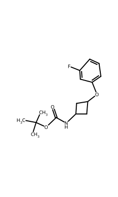 CC(C)(C)OC(=O)NC1CC(Oc2cccc(F)c2)C1